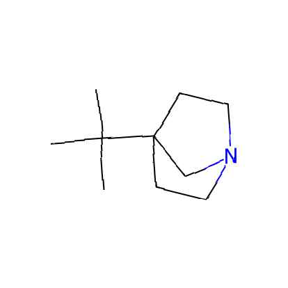 CC(C)(C)C12CCN(CC1)C2